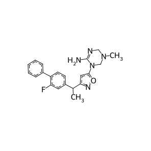 CC(c1ccc(-c2ccccc2)c(F)c1)c1cc(N2CN(C)CN=C2N)on1